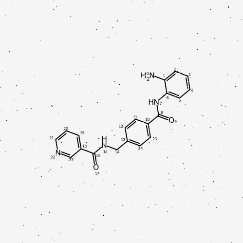 Nc1ccccc1NC(=O)c1ccc(CNC(=O)c2cccnc2)cc1